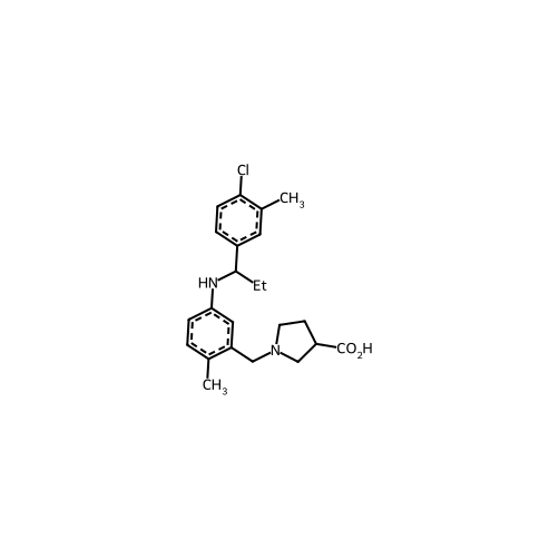 CCC(Nc1ccc(C)c(CN2CCC(C(=O)O)C2)c1)c1ccc(Cl)c(C)c1